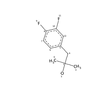 CC(C)([O])Cc1ccc(F)c(F)c1